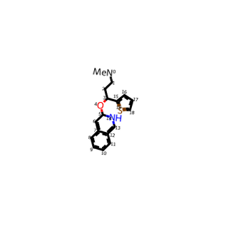 CNCCC(OC1C=c2ccccc2=CN1)c1cccs1